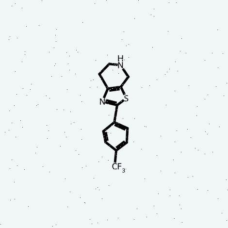 FC(F)(F)c1ccc(-c2nc3c(s2)CNCC3)cc1